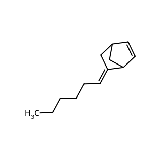 CCCCCC=C1CC2C=CC1C2